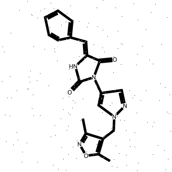 Cc1noc(C)c1Cn1cc(N2C(=O)NC(=Cc3ccccc3)C2=O)cn1